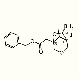 B[C@@H]1O[C@@]2(CC(=O)OCc3ccccc3)COC[C@H]1C2C